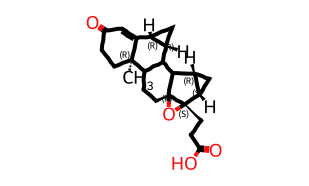 C[C@]12CCC(=O)C=C1[C@@H]1C[C@@H]1C1C2CC[C@]23O[C@@]2(CCC(=O)O)[C@H]2C[C@H]2C13